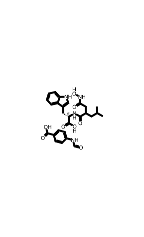 CC(C)CC(CC(=O)NO)C(=O)N[C@@H](Cc1c[nH]c2ccccc12)C(=O)O.O=CNc1ccc(C(=O)O)cc1